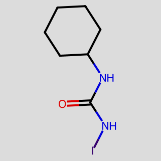 O=C(NI)NC1CCCCC1